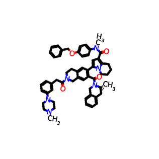 C[C@@H]1Cc2ccccc2CN1C(=O)c1cc2c(cc1-c1cc(C(=O)N(C)c3ccc(OCc4ccccc4)cc3)c3n1CCCC3)CCN(C(=O)Cc1cccc(N3CCN(C)CC3)c1)C2